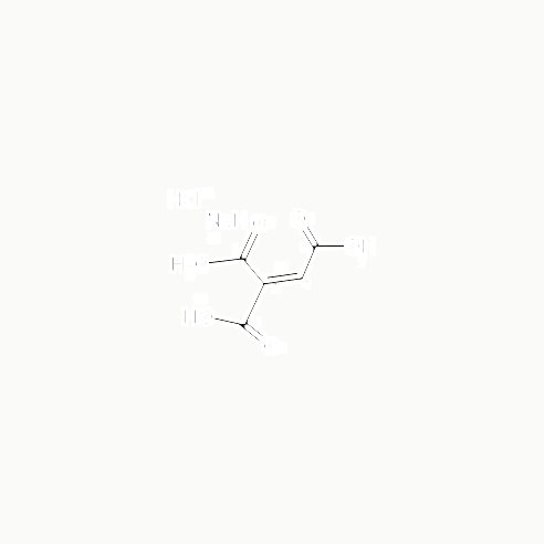 CC(=O)/C(=C\C(=O)O)C(=O)O.Cl.[NaH]